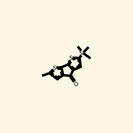 Cc1cc2c(s1)-c1sc([Si](C)(C)C)cc1C2=O